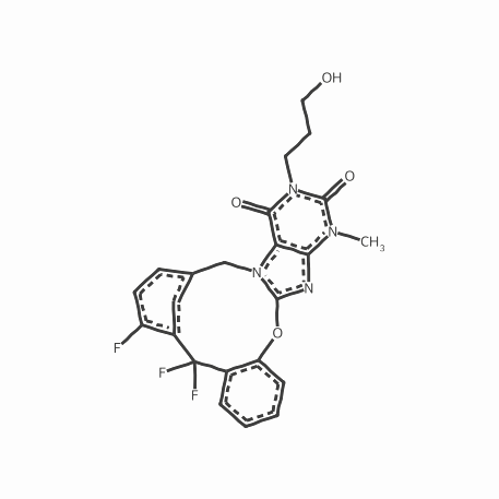 Cn1c(=O)n(CCCO)c(=O)c2c1nc1n2Cc2ccc(F)c(c2)C(F)(F)c2ccccc2O1